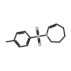 Cc1ccc(S(=O)(=O)N2C=CCCCC2)cc1